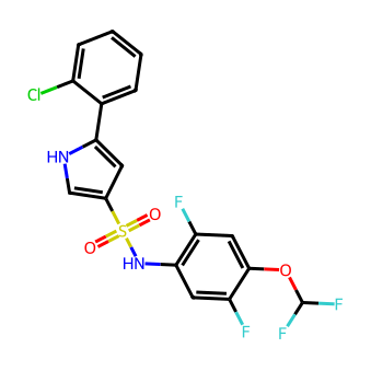 O=S(=O)(Nc1cc(F)c(OC(F)F)cc1F)c1c[nH]c(-c2ccccc2Cl)c1